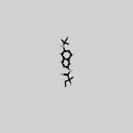 CCC(C)(I)C(=O)Oc1ccc2cc(OC(C)(C)C)ccc2c1